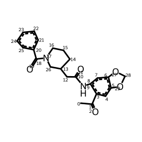 CC(=O)c1cc2c(cc1NC(=O)CC1CCCN(C(=O)c3ccccc3)C1)OCO2